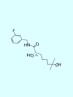 CC(C)(O)CCCC[C@H](O)C(=O)NCc1cccc(F)c1